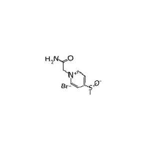 C[S+]([O-])c1cc[n+](CC(N)=O)cc1.[Br-]